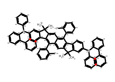 CC1(C)c2cc(N(c3ccccc3)c3ccccc3-c3ccccc3)ccc2-c2c1cc1c(-c3ccccc3F)c3c(cc1c2-c1ccccc1F)C(C)(C)c1cc(N(c2ccccc2)c2ccccc2-c2ccccc2)ccc1-3